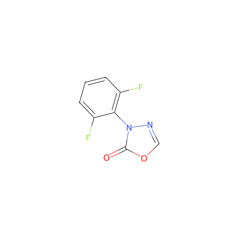 O=c1ocnn1-c1c(F)cccc1F